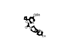 COc1cncc(C2(OCC(=O)N3CC4C[C@H](C)C(C3)N4c3ccc(C#N)cn3)CCC2)c1